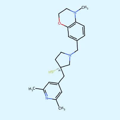 Cc1cc(C[C@@]2(S)CCN(Cc3ccc4c(c3)OCCN4C)C2)cc(C)n1